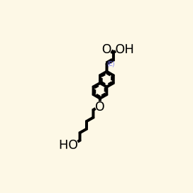 O=C(O)/C=C/c1ccc2cc(OCCCCCCO)ccc2c1